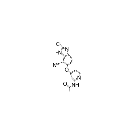 CC(=O)Nc1cc(Oc2ccc3nc(Cl)n(C)c3c2C#N)ccn1